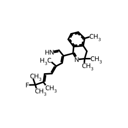 CC(=C\C=C(/C)C(C)(C)F)/C=C(\C=N)C1=NC(C)(C)Cc2c(C)cccc21